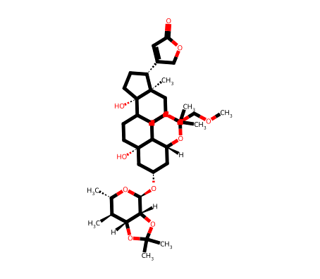 COCO[C@@H]1C[C@]2(C)[C@@H](C3=CC(=O)OC3)CC[C@]2(O)C2CC[C@]3(O)C[C@@H](O[C@@H]4O[C@@H](C)[C@H](C)[C@H]5OC(C)(C)O[C@@H]45)C[C@H]4OC(C)(C)OC[C@]43C21